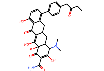 CCC(=O)Cc1ccc(-c2ccc(O)c3c2CC2CC4C(N(C)C)C(O)=C(C(N)=O)C(=O)C4(O)C(O)=C2C3=O)cc1